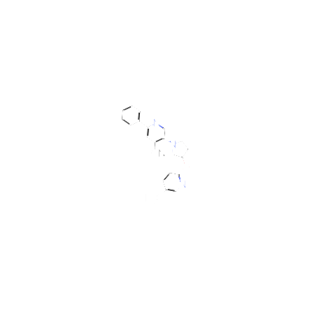 N#Cc1cc(-c2ccccc2)ncc1N1CCC(Oc2ccc(C(F)(F)F)cn2)C1